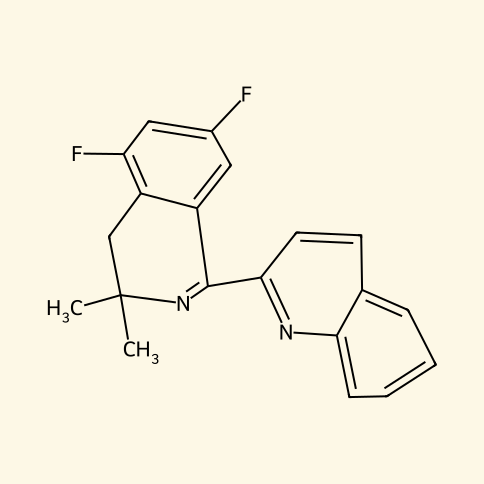 CC1(C)Cc2c(F)cc(F)cc2C(c2ccc3ccccc3n2)=N1